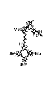 C=CC(=O)N[C@@H]1CN(c2nc(Nc3cn(CCCCCNC(=O)CN4CCN(CC(=O)OC(C)(C)C)CCN(CC(=O)OC(C)(C)C)CCN(CC(=O)OC(C)(C)C)CC4)nc3OC)c3ncn(C)c3n2)C[C@H]1F